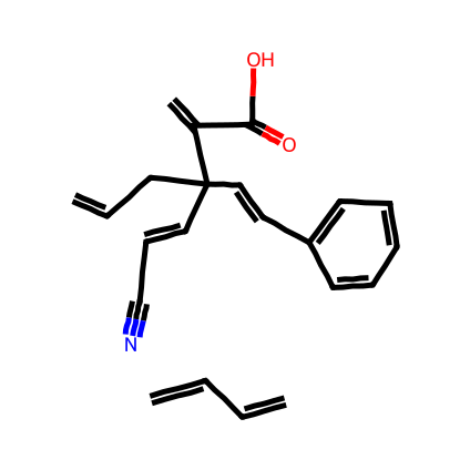 C=CC=C.C=CCC(C=CC#N)(C=Cc1ccccc1)C(=C)C(=O)O